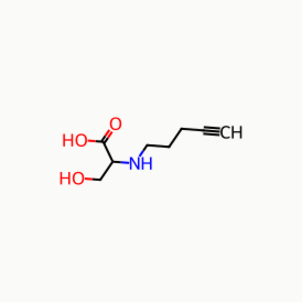 C#CCCCNC(CO)C(=O)O